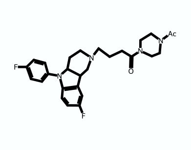 CC(=O)N1CCN(C(=O)CCCN2CCC3C(C2)c2cc(F)ccc2N3c2ccc(F)cc2)CC1